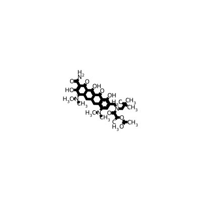 CC(=O)OC(C)C(=O)N(Cc1cc(N(C)C)c2c(c1O)C(=O)C1=C(O)C3C(=O)C(C(N)=O)=C(O)[C@H](N(C)C)C3CC1C2)CC(C)(C)C